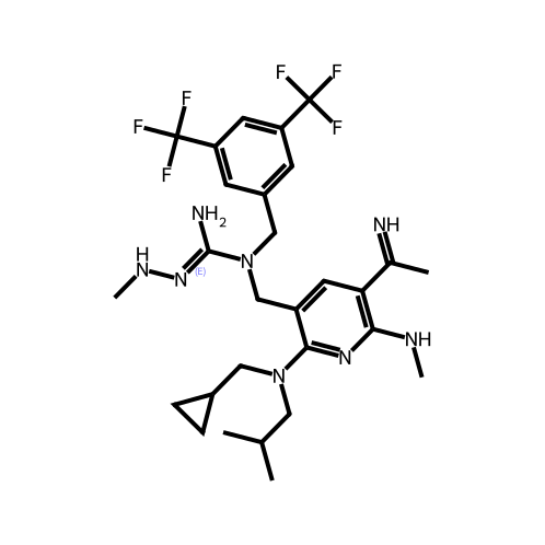 CN/N=C(\N)N(Cc1cc(C(F)(F)F)cc(C(F)(F)F)c1)Cc1cc(C(C)=N)c(NC)nc1N(CC(C)C)CC1CC1